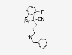 CC(C)C(C#N)(CCCN(C)Cc1ccccc1)c1c(F)cccc1F